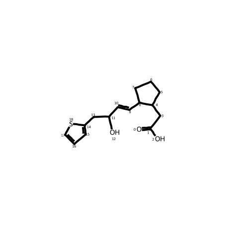 O=C(O)CC1CCCC1C=CC(O)Cc1cccs1